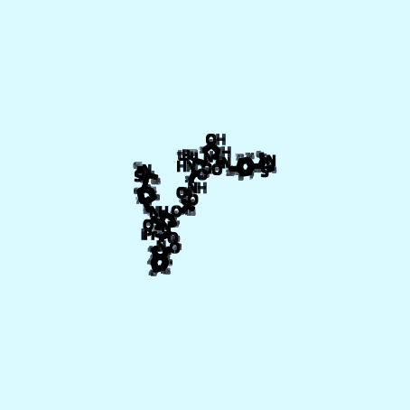 Cc1ncsc1-c1ccc(CNC(=O)[C@@H]2C[C@@H](O)CN2C(=O)[C@@H](NC(=O)CNC(=O)OC(C)(C)CO[C@H]2CN(C(=O)[C@H](C(C)C)N3Cc4ccccc4C3=O)C(C)(C(=O)NCc3ccc(-c4scnc4C)cc3)C2)C(C)(C)C)cc1